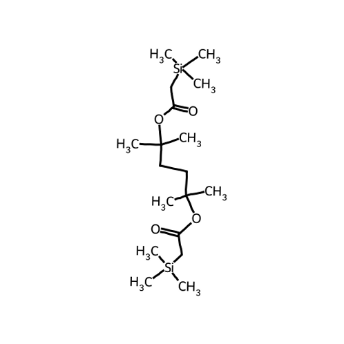 CC(C)(CCC(C)(C)OC(=O)C[Si](C)(C)C)OC(=O)C[Si](C)(C)C